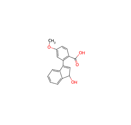 COc1ccc(C(=O)O)c(C2=CC(O)c3ccccc32)c1